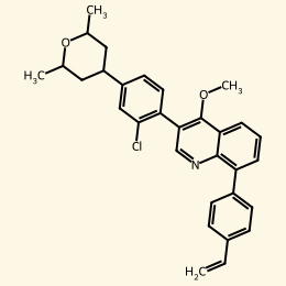 C=Cc1ccc(-c2cccc3c(OC)c(-c4ccc(C5CC(C)OC(C)C5)cc4Cl)cnc23)cc1